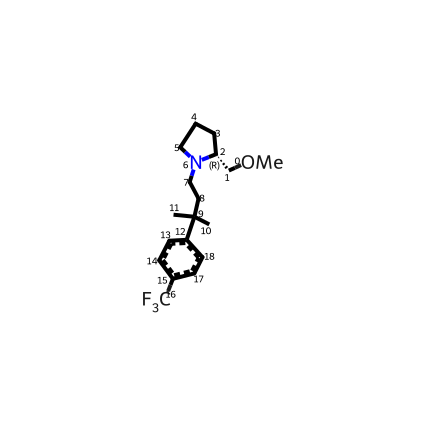 COC[C@H]1CCCN1CCC(C)(C)c1ccc(C(F)(F)F)cc1